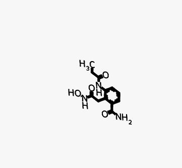 CCC(=O)Nc1cccc(C(N)=O)c1CC(=O)NO